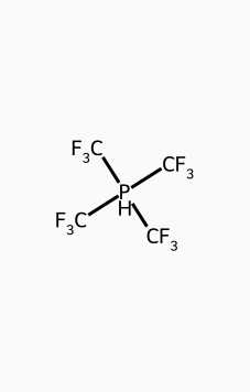 FC(F)(F)[PH](C(F)(F)F)(C(F)(F)F)C(F)(F)F